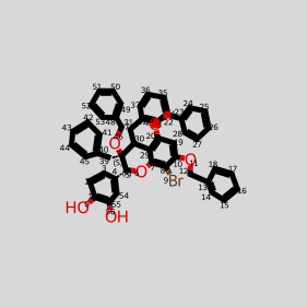 Oc1ccc([C@H]2Oc3c(Br)c(OCc4ccccc4)cc(OCc4ccccc4)c3C(Cc3ccccc3)[C@]2(Cc2ccccc2)OCc2ccccc2)cc1O